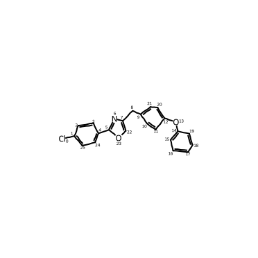 Clc1ccc(-c2nc(Cc3ccc(Oc4ccccc4)cc3)co2)cc1